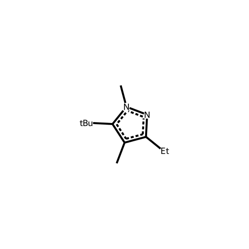 CCc1nn(C)c(C(C)(C)C)c1C